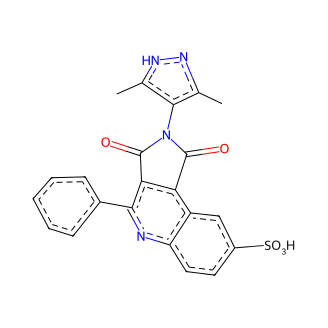 Cc1n[nH]c(C)c1N1C(=O)c2c(-c3ccccc3)nc3ccc(S(=O)(=O)O)cc3c2C1=O